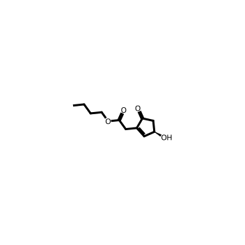 CCCCOC(=O)CC1=C[C@H](O)CC1=O